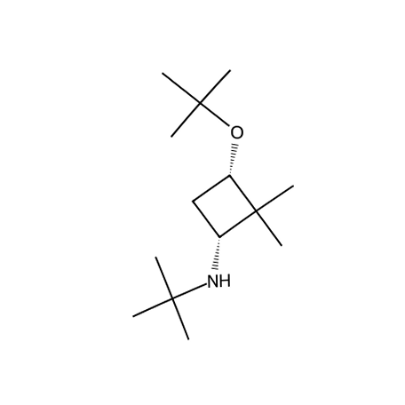 CC(C)(C)N[C@@H]1C[C@H](OC(C)(C)C)C1(C)C